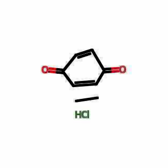 CC.Cl.O=C1C=CC(=O)C=C1